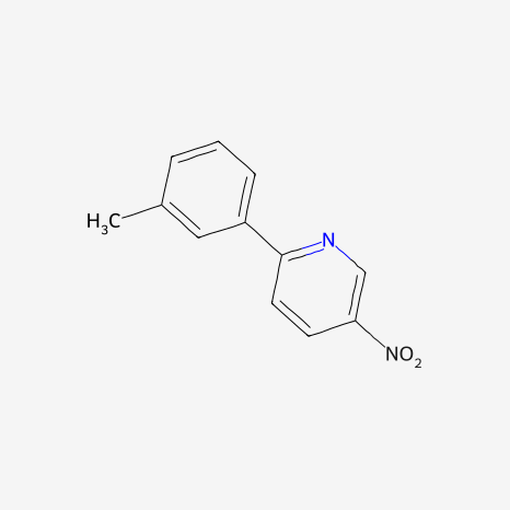 Cc1cccc(-c2ccc([N+](=O)[O-])cn2)c1